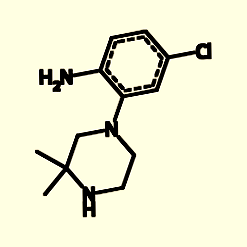 CC1(C)CN(c2cc(Cl)ccc2N)CCN1